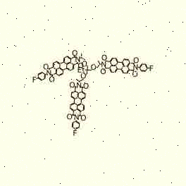 CCC(COCC(C)N1C(=O)c2ccc3c4ccc5c6c(ccc(c7ccc(c2c37)C1=O)c64)C(=O)N(c1ccc(F)cc1)C5=O)(COCC(C)N1C(=O)c2ccc3c4ccc5c6c(ccc(c7ccc(c2c37)C1=O)c64)C(=O)N(c1ccc(F)cc1)C5=O)COCC(C)N1C(=O)c2ccc3c4ccc5c6c(ccc(c7ccc(c2c37)C1=O)c64)C(=O)N(c1ccc(F)cc1)C5=O